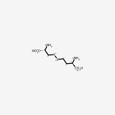 N[C@H](CCSSC[C@@H](N)C(=O)O)C(=O)O